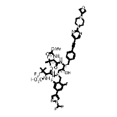 COC(=O)N[C@H](C(=O)N[C@@H](Cc1ccc(C#Cc2cnc(N3CCN(C4COC4)CC3)nc2)cc1)[C@@H](O)CN(Cc1c(F)cc(-c2cnn(C(F)F)c2)cc1F)NC(=O)[C@@H](NC(=O)O)C(C)(C)C(F)(F)F)C(C)(C)C(F)(F)F